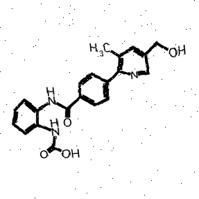 Cc1cc(CO)cnc1-c1ccc(C(=O)Nc2ccccc2NC(=O)O)cc1